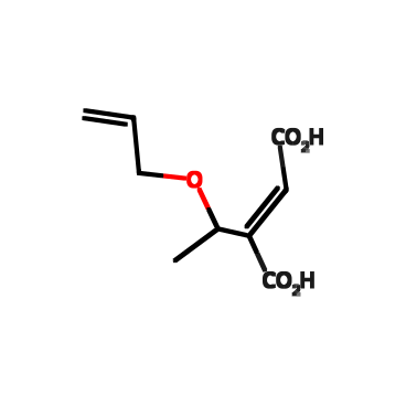 C=CCOC(C)C(=CC(=O)O)C(=O)O